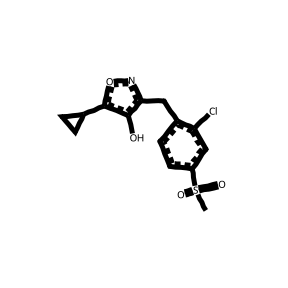 CS(=O)(=O)c1ccc(Cc2noc(C3CC3)c2O)c(Cl)c1